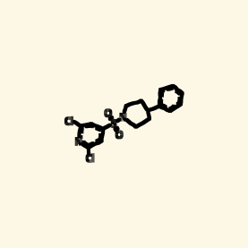 O=S(=O)(c1cc(Cl)nc(Cl)c1)N1CCC(c2ccccc2)CC1